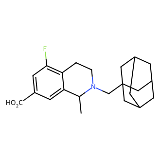 CC1c2cc(C(=O)O)cc(F)c2CCN1CC12CC3CC(CC(C3)C1)C2